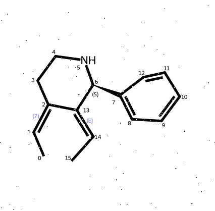 C/C=C1/CCN[C@@H](c2ccccc2)/C1=C/C